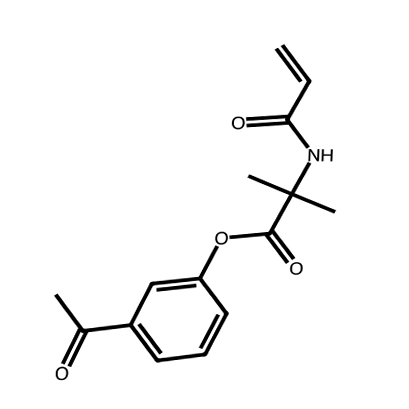 C=CC(=O)NC(C)(C)C(=O)Oc1cccc(C(C)=O)c1